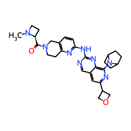 CN1CC[C@H]1C(=O)N1CCc2nc(Nc3ncc4cc(C5COC5)nc(N5C6CCC5CC6)c4n3)ccc2C1